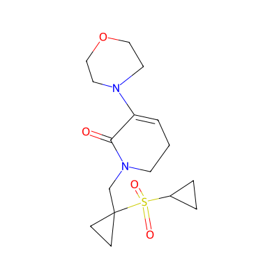 O=C1C(N2CCOCC2)=CCCN1CC1(S(=O)(=O)C2CC2)CC1